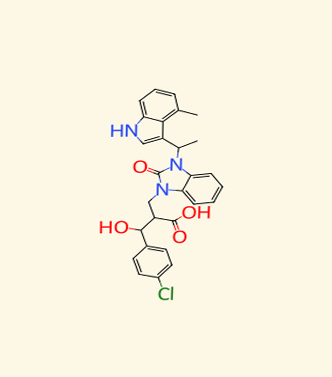 Cc1cccc2[nH]cc(C(C)n3c(=O)n(CC(C(=O)O)C(O)c4ccc(Cl)cc4)c4ccccc43)c12